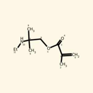 C=C(C)C(=O)OCC(C)(C)NCC